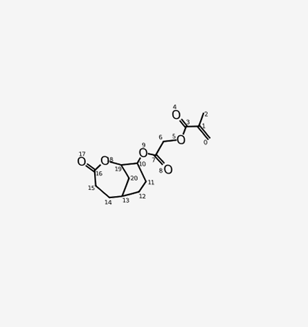 C=C(C)C(=O)OCC(=O)OC1CCC2CCC(=O)OC1C2